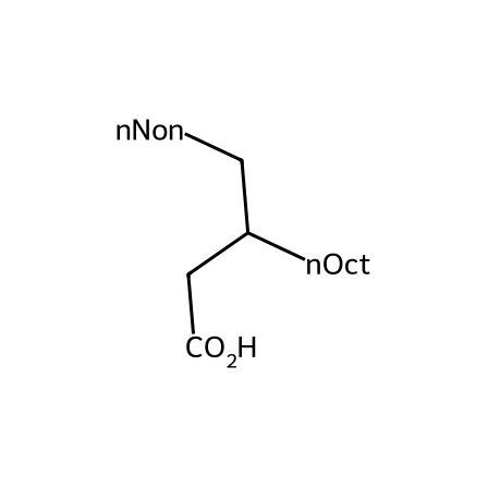 CCCCCCCCCCC(CCCCCCCC)CC(=O)O